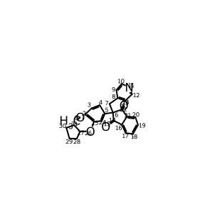 COc1ccc(C2(Cc3ccncc3)C(=O)c3c[c]ccc3C2=O)cc1OC1CCCC1